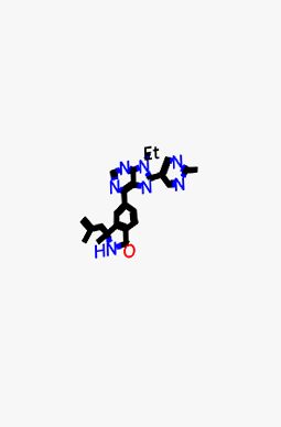 C=C(C)CC1(C)NC(=O)c2ccc(-c3ncnc4c3nc(-c3cnc(C)nc3)n4CC)cc21